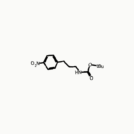 CC(C)(C)OC(=O)NCCCc1ccc([N+](=O)[O-])cc1